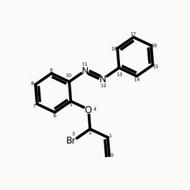 C=CC(Br)Oc1ccccc1N=Nc1ccccc1